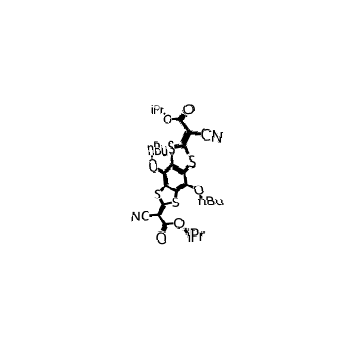 CCCCOc1c2c(c(OCCCC)c3c1SC(=C(C#N)C(=O)OC(C)C)S3)SC(=C(C#N)C(=O)OC(C)C)S2